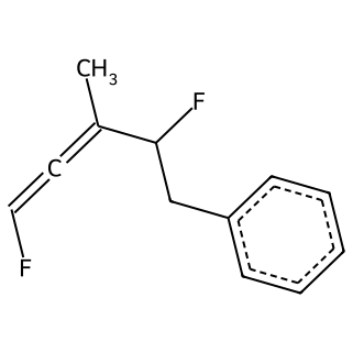 CC(=C=CF)C(F)Cc1ccccc1